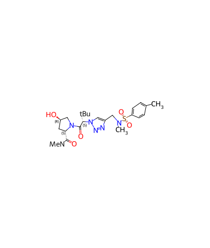 CNC(=O)[C@@H]1C[C@@H](O)CN1C(=O)[C@@H](n1cc(CN(C)S(=O)(=O)c2ccc(C)cc2)nn1)C(C)(C)C